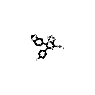 Nc1nc(-c2ccc(F)cc2)c(-c2ccc3ncsc3c2)n2nnnc12